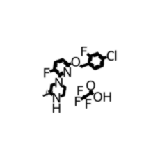 C[C@H]1CN(c2nc(OCc3ccc(Cl)cc3F)ccc2F)CCN1.O=C(O)C(F)(F)F